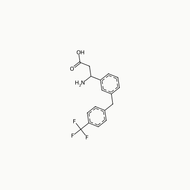 NC(CC(=O)O)c1cccc(Cc2ccc(C(F)(F)F)cc2)c1